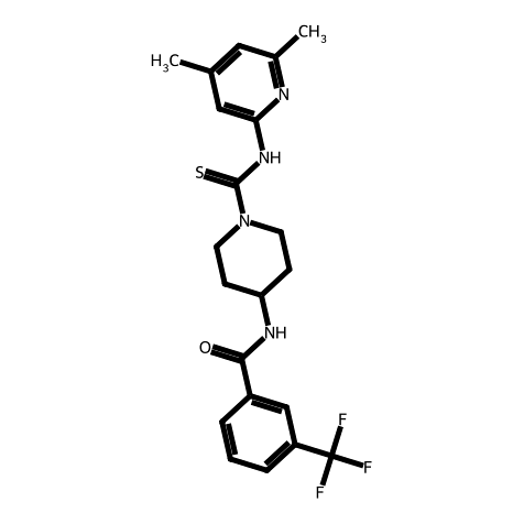 Cc1cc(C)nc(NC(=S)N2CCC(NC(=O)c3cccc(C(F)(F)F)c3)CC2)c1